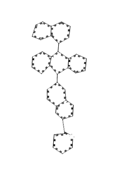 c1ccc(-c2ccc3cc(-c4c5ccccc5c(-c5cccc6ccccc56)c5ccccc45)ccc3c2)nc1